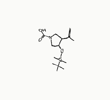 C=C(C)C1CN(C(=O)O)CC1O[Si](C)(C)C(C)(C)C